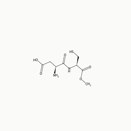 COC(=O)[C@H](CS)NC(=O)[C@@H](N)CC(=O)O